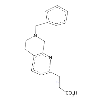 O=C(O)/C=C/c1ccc2c(n1)CN(Cc1ccccc1)CC2